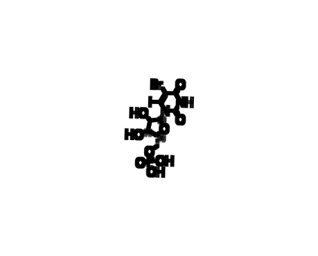 O=c1[nH]c(=O)n([C@@H]2O[C@H](COP(=O)(O)O)[C@H](O)C2O)c(I)c1Br